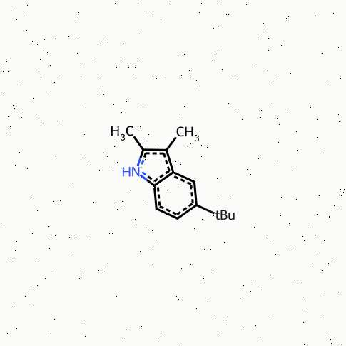 Cc1[nH]c2ccc(C(C)(C)C)cc2c1C